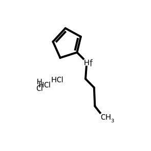 CCC[CH2][Hf][C]1=CC=CC1.Cl.Cl.Cl